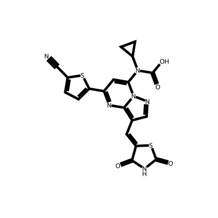 N#Cc1ccc(-c2cc(N(C(=O)O)C3CC3)n3ncc(C=C4SC(=O)NC4=O)c3n2)s1